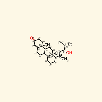 CC[C@@H](C(C)C)[C@H](O)C[C@@H](C)[C@H]1CCCC2C3CCC4=CC(=O)CC[C@]4(C)C3CC[C@@]21C